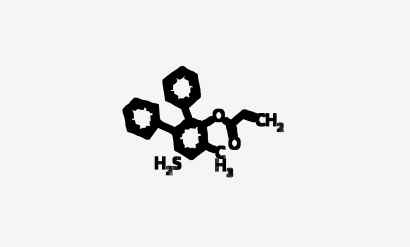 C=CC(=O)Oc1c(C)ccc(-c2ccccc2)c1-c1ccccc1.S